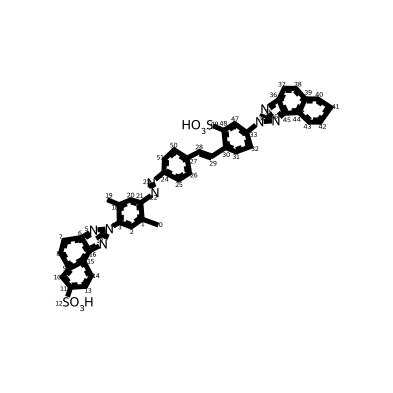 Cc1cc(-n2n3c4ccc5cc(S(=O)(=O)O)ccc5c4n23)c(C)cc1N=Nc1ccc(C=Cc2ccc(-n3n4c5ccc6ccccc6c5n34)cc2S(=O)(=O)O)cc1